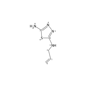 C=CCNc1nnc(N)s1